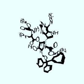 CC(C)C(NC(=O)OC(C)(C)C)C(=O)O[C@@H]1[C@H](O)[C@@H](COC(c2ccccc2)(c2ccccc2)c2ccccc2)N(C(=O)OC(C)(C)C)[C@H]1c1c[nH]c2c(N=[N+]=[N-])ncnc12